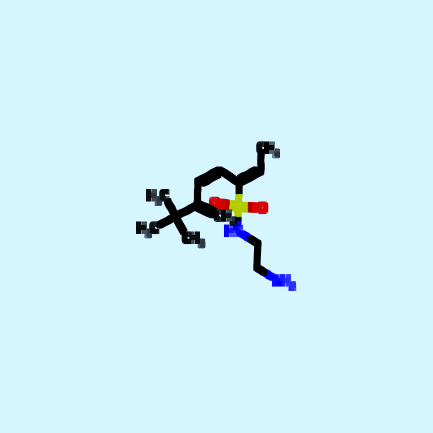 C=C(/C=C\C(=C/C)S(=O)(=O)NCCN)C(C)(C)C